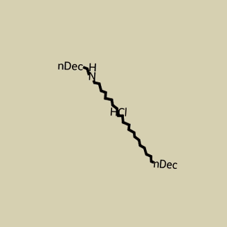 CCCCCCCCCCCCCCCCCCCCCCCCCCCCCCCNCCCCCCCCCCCC.Cl